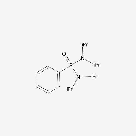 CC(C)N(C(C)C)P(=O)(c1ccccc1)N(C(C)C)C(C)C